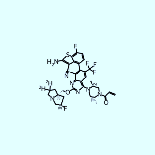 [2H]C1([2H])CN2C[C@H](F)C[C@]2(COc2nc(N3C[C@@H](C)N(C(=O)C=C)C[C@@H]3C)c3cc(C(F)(F)F)c(-c4ccc(F)c5sc(N)c(C#N)c45)c(F)c3n2)C1